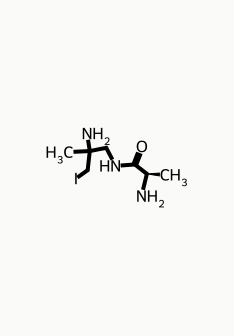 C[C@@H](N)C(=O)NCC(C)(N)CI